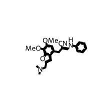 COc1cc(C/C(C#N)=C/Nc2ccccc2)c2cc(CN(C)C)oc2c1OC